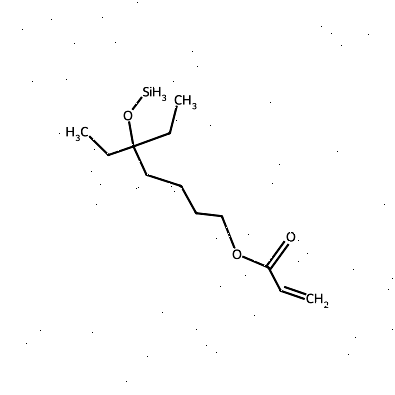 C=CC(=O)OCCCCC(CC)(CC)O[SiH3]